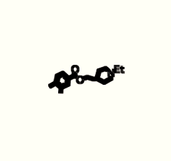 CCN1CCC(CCOC(=O)c2ccc(C)c(C)c2)CC1